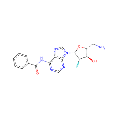 NC[C@H]1O[C@@H](n2cnc3c(NC(=O)c4ccccc4)ncnc32)[C@H](F)[C@@H]1O